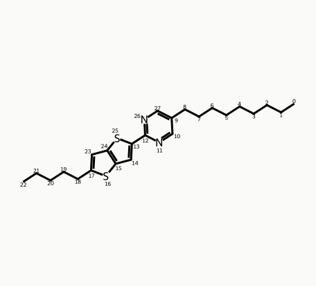 CCCCCCCCCc1cnc(-c2cc3sc(CCCCC)cc3s2)nc1